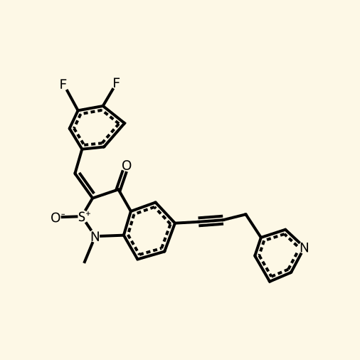 CN1c2ccc(C#CCc3cccnc3)cc2C(=O)/C(=C\c2ccc(F)c(F)c2)[S+]1[O-]